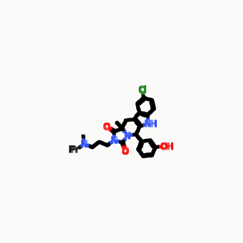 CC(C)N(C)CCCN1C(=O)N2C(c3cccc(O)c3)c3[nH]c4ccc(Cl)cc4c3CC2(C)C1=O